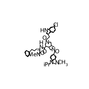 CNC(=O)[C@H](CCCc1ccccc1)NC(=O)C1CN(C(=O)Cc2c[nH]c3cc(Cl)ccc23)CC2CN(C(=O)c3ccc4c(c3)N(C)CN4C(C)C)CC21